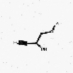 C#CC(O)COC(C)C